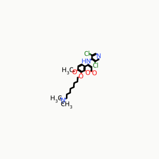 COc1ccc2c(Nc3c(Cl)cncc3Cl)cc(=O)oc2c1OCCCCCCCCN(C)C